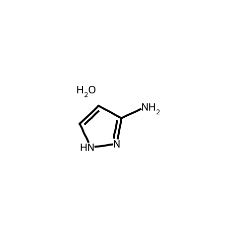 Nc1cc[nH]n1.O